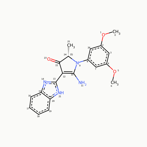 COc1cc(OC)cc(N2C(N)=C(c3nc4ccccc4[nH]3)C(=O)[C@@H]2C)c1